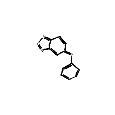 C1=CC(=[SH]c2ccccc2)C=C2N=NN=C12